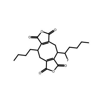 CCCCC1CC2=C(C(=O)OC2=O)C(C(F)CCCC)CC2=C1C(=O)OC2=O